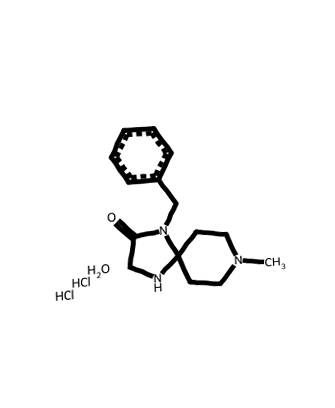 CN1CCC2(CC1)NCC(=O)N2Cc1ccccc1.Cl.Cl.O